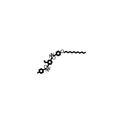 C=Cc1cc(-c2nnc(-c3ccc(OCCCCCCCCCCCC)cc3)o2)ccc1-c1nnc(-c2ccc(C)cc2)o1